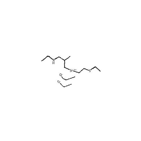 CCNCC(C)[CH2][Sn+2][CH2]CSCC.CC[O-].CC[O-]